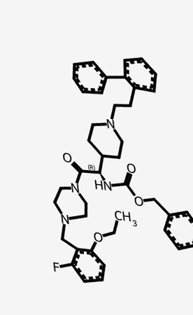 CCOc1cccc(F)c1CN1CCN(C(=O)[C@H](NC(=O)OCc2ccccc2)C2CCN(CCc3ccccc3-c3ccccc3)CC2)CC1